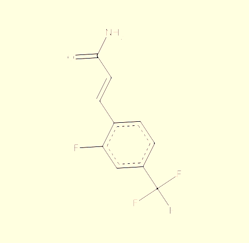 NC(=O)/C=C/c1ccc(C(F)(F)F)cc1F